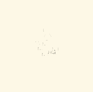 Cl.Cl.O=C1N=C(NC2CCCCC2)C2(CCNCC2)N1c1cccc(I)c1